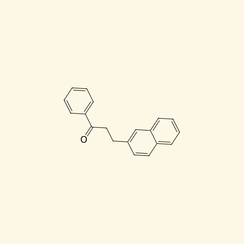 O=C(CCc1ccc2ccccc2c1)c1ccccc1